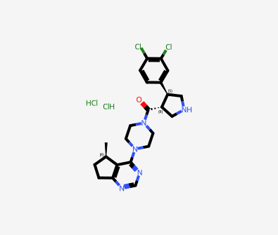 C[C@@H]1CCc2ncnc(N3CCN(C(=O)[C@H]4CNC[C@@H]4c4ccc(Cl)c(Cl)c4)CC3)c21.Cl.Cl